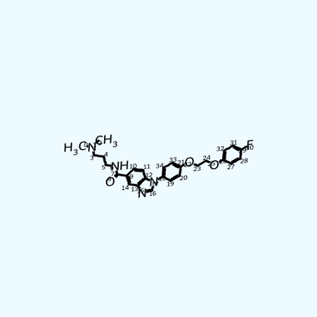 CN(C)CCCNC(=O)c1ccc2c(c1)ncn2-c1ccc(OCCOc2ccc(F)cc2)cc1